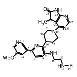 COc1cncc(-c2ccc(NCCNC(C)C)c(C3CCN(c4ncnc5c4C(C)C(=O)N5)CC3)n2)c1